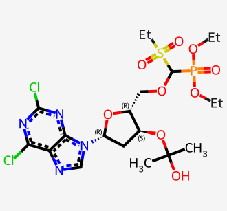 CCOP(=O)(OCC)C(OC[C@H]1O[C@@H](n2cnc3c(Cl)nc(Cl)nc32)C[C@@H]1OC(C)(C)O)S(=O)(=O)CC